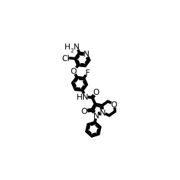 Nc1nccc(Oc2ccc(NC(=O)c3c4n(n(-c5ccccc5)c3=O)CCOC4)cc2F)c1Cl